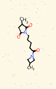 CC1CN(C(=O)CCCCN2C(=O)CC(C)C2=O)C1